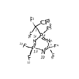 FC(F)(F)C(F)(F)P1(F)=NP(F)(F)=NP(F)(F)=N1